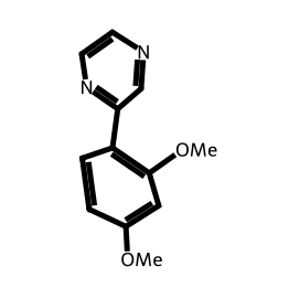 COc1ccc(-c2cnccn2)c(OC)c1